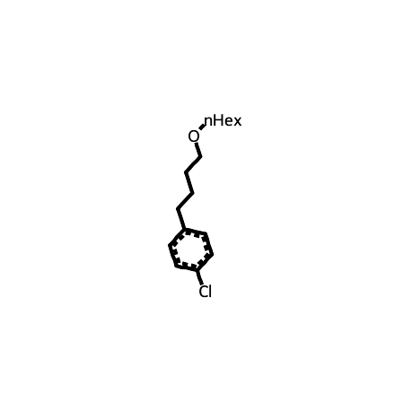 [CH2]CCCCCOCCCCc1ccc(Cl)cc1